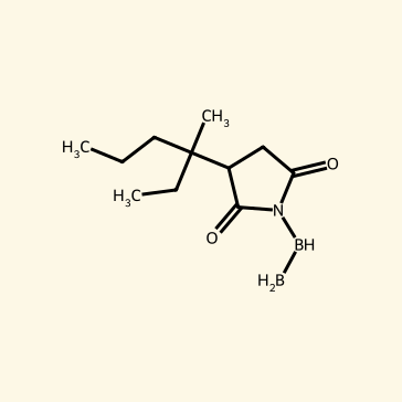 BBN1C(=O)CC(C(C)(CC)CCC)C1=O